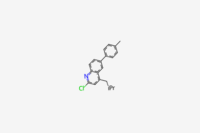 Cc1ccc(-c2ccc3nc(Cl)cc(CC(C)C)c3c2)cc1